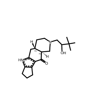 CC(C)(C)C(O)CN1CC[C@H]2Cc3[nH]c4c(c3C(=O)[C@@H]2C1)CCC4